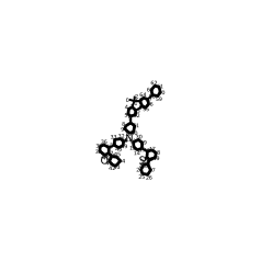 CC1(C)c2ccc(-c3ccc(N(c4ccc(-c5cccc6c5sc5ccccc56)cc4)c4ccc(-c5cccc6oc7ccccc7c56)cc4)cc3)cc2-c2ccc(-c3ccccc3)cc21